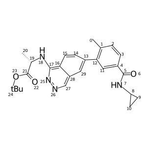 Cc1ccc(C(=O)NC2CC2)cc1-c1ccc2c(N[C@@H](C)C(=O)OC(C)(C)C)nncc2c1